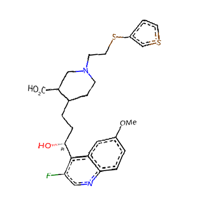 COc1ccc2ncc(F)c([C@H](O)CCC3CCN(CCSc4ccsc4)CC3C(=O)O)c2c1